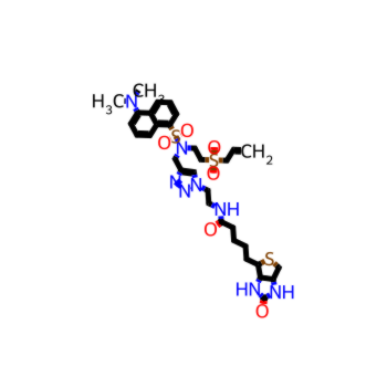 C=CCS(=O)(=O)CCN(Cc1cn(CCNC(=O)CCCCC2SCC3NC(=O)NC32)nn1)S(=O)(=O)c1cccc2c(N(C)C)cccc12